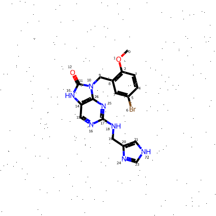 COc1ccc(Br)cc1Cn1c(=O)[nH]c2cnc(NCc3c[nH]cn3)nc21